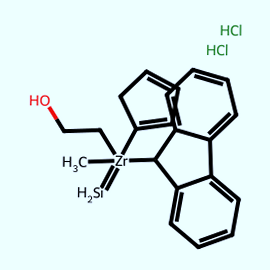 Cl.Cl.[CH3][Zr](=[SiH2])([CH2]CO)([C]1=CC=CC1)[CH]1c2ccccc2-c2ccccc21